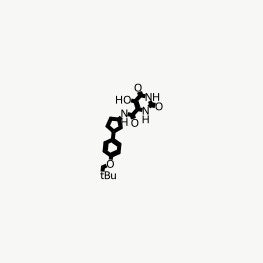 CC(C)(C)COc1ccc(C2CCC(NC(=O)c3[nH]c(=O)[nH]c(=O)c3O)C2)cc1